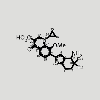 COc1c(-c2cc3c(s2)CCC(F)(F)C3N)ccc2c(=O)c(C(=O)O)cn(C3CC3)c12